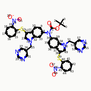 CC(C)(C)OC(=O)N(c1ccc2c(Sc3ccccc3[N+](=O)[O-])cn(Cc3cncnc3)c2c1)c1ccc2c(Sc3ccccc3[N+](=O)[O-])cn(Cc3cncnc3)c2c1